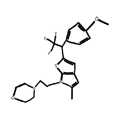 COc1ccc(C(c2cc3cc(C)n(CCN4CCOCC4)c3s2)C(F)(F)F)cc1